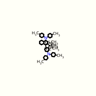 Cc1ccc(N(c2ccc(C)cc2)c2ccc3c(c2)C([Si](C)(C)C)([Si](C)(C)C)c2cc(N(c4ccc(C)cc4)c4ccc(C)cc4)c4ccccc4c2-3)cc1